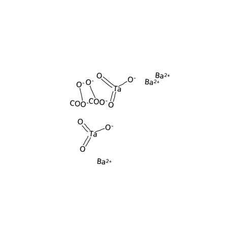 O=C([O-])[O-].O=C([O-])[O-].[Ba+2].[Ba+2].[Ba+2].[O]=[Ta](=[O])[O-].[O]=[Ta](=[O])[O-]